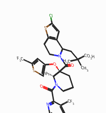 CCC[C@H]1N(C(=O)c2ncccc2C(F)(F)F)CCC[C@@]1(Oc1csc(C(F)(F)F)c1)C(=O)N1CCc2sc(Cl)cc2C1CC(C)(C)C(=O)O